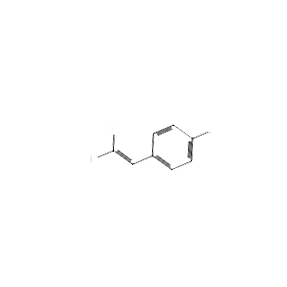 FC(F)=Cc1ccc(F)cc1